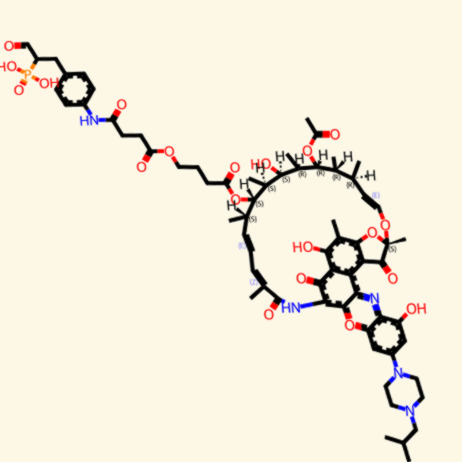 CC(=O)O[C@H]1[C@H](C)[C@H](O)[C@H](C)[C@@H](OC(=O)CCCOC(=O)CCC(=O)Nc2ccc(CC(C=O)P(=O)(O)O)cc2)[C@@H](C)/C=C/C=C(/C)C(=O)Nc2c3oc4cc(N5CCN(CC(C)C)CC5)cc(O)c4nc-3c3c4c(c(C)c(O)c3c2=O)O[C@](C)(O/C=C/[C@H](C)[C@H]1C)C4=O